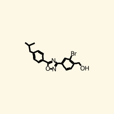 CC(C)Cc1ccc(-c2nc(-c3ccc(CO)c(Br)c3)no2)cc1